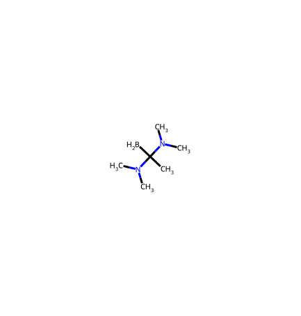 BC(C)(N(C)C)N(C)C